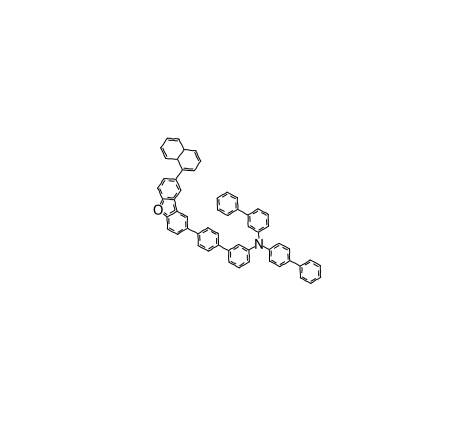 C1=CC2C=CC=C(c3ccc4oc5ccc(-c6ccc(-c7cccc(N(c8ccc(-c9ccccc9)cc8)c8cccc(-c9ccccc9)c8)c7)cc6)cc5c4c3)C2C=C1